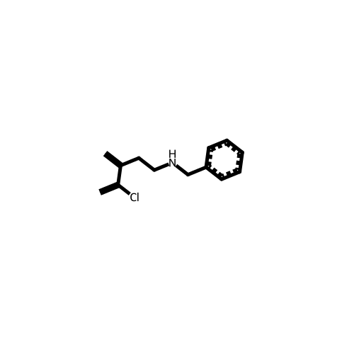 C=C(Cl)C(=C)CCNCc1ccccc1